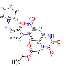 CCOC(=O)Cn1c(=O)c(=O)[nH]c2cc([N+](=O)[O-])c(-n3ccc(CN4CCCCC4)c3)cc21